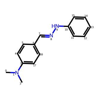 CN(C)c1ccc(/C=N/Nc2ccccc2)cc1